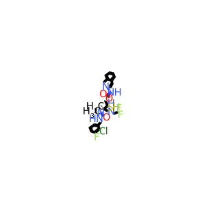 CN(C(=O)NCc1cccc(F)c1Cl)[C@](C)(CNCC(F)F)C(S)COC(=O)Nc1cc2ccccc2cn1